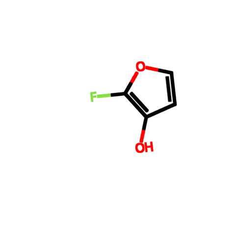 Oc1ccoc1F